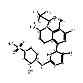 CC(N1c2c(N)c(F)cc(C3NC(N[C@@H]4CCN(S(C)(=O)=O)C[C@H]4O)=NC=C3Cl)c2CC[C@H]1C)C(C)(C)O